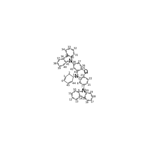 C1=CCC(N2c3cc(-n4c5ccccc5c5ccccc54)ccc3Oc3ccc(-n4c5ccccc5c5ccccc54)cc32)C=C1